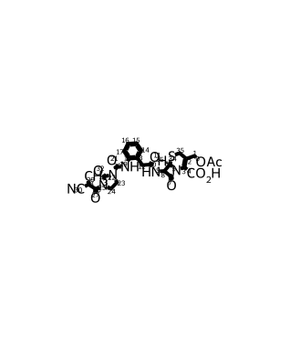 CC(=O)OCC1=C(C(=O)O)N2C(=O)C(NC(=O)Cc3ccccc3NC(=O)N3CCN(C(=O)C(C)C#N)C3=O)[C@H]2SC1